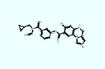 N=CN(CC1CC1)C(=N)c1cccc(NC(=O)c2cc3c(cc2F)OCc2cncn2-3)c1